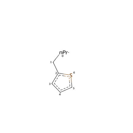 CC[CH]Cc1cccs1